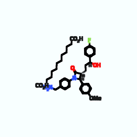 COc1ccc([C@@H]2[C@@H](CC[C@H](O)c3ccc(F)cc3)C(=O)N2c2ccc(CN)cc2)cc1.O=C(O)CCCCCCCCCCC(=O)O